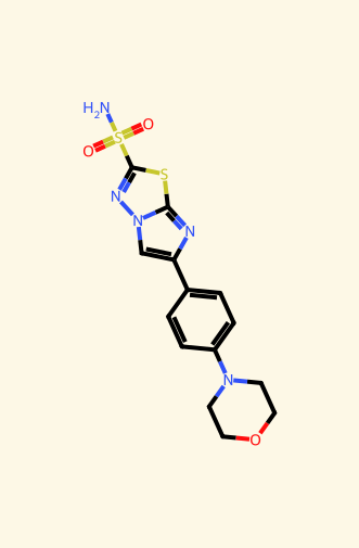 NS(=O)(=O)c1nn2cc(-c3ccc(N4CCOCC4)cc3)nc2s1